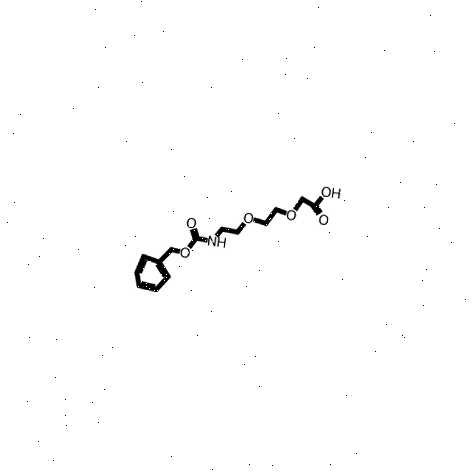 O=C(O)COCCOCCNC(=O)OCc1ccccc1